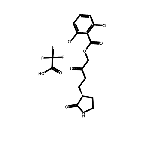 O=C(CC[C@H]1CCNC1=O)COC(=O)c1c(Cl)cccc1Cl.O=C(O)C(F)(F)F